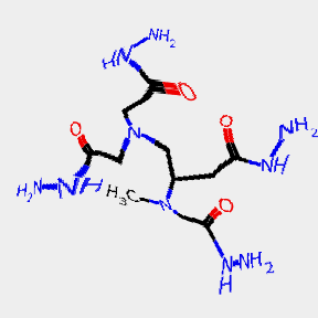 CN(CC(=O)NN)C(CC(=O)NN)CN(CC(=O)NN)CC(=O)NN